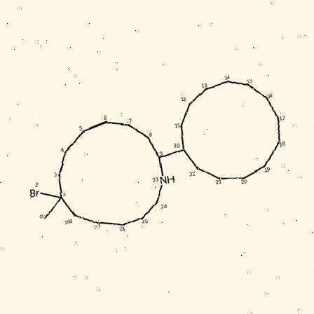 CC1(Br)CCCCCCC(C2CCCCCCCCCCCC2)NCCCCC1